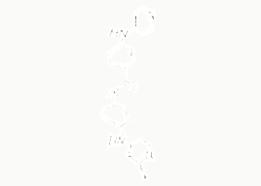 Cc1cc(Nc2ccc(NC(=O)c3ccc(Nc4ccncc4)cc3)cc2)ccn1